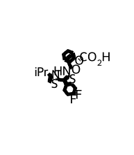 CC(C)c1csc(-c2c(NC(=O)C3=C(OC(=O)O)C4CCC3CC4)sc3c2CCC(F)(F)C3)n1